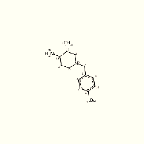 C[C@@H]1CN(Cc2ccc(C(C)(C)C)cc2)CC[C@H]1N